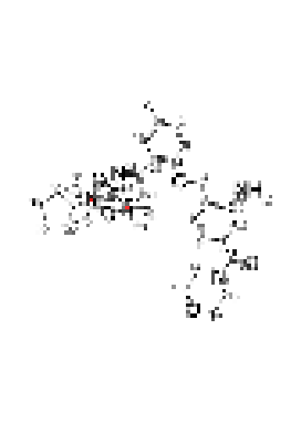 Cc1ccc(OCc2ccc(C(=O)N3CCOCC3)cc2N)c(-c2csc(N3CC4CCC(C3)C4C(=O)OC(C)(C)C)n2)c1